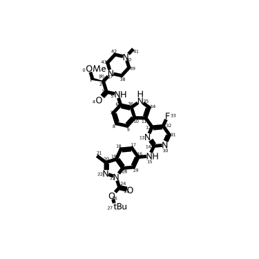 COC[C@H](C(=O)Nc1cccc2c(-c3nc(Nc4ccc5c(C)nn(C(=O)OC(C)(C)C)c5c4)ncc3F)c[nH]c12)N1CCN(C)CC1